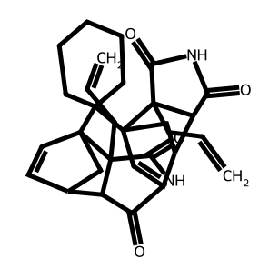 C=CCC12C(=O)NC(=O)C1C1C=CC2(C2(C34C=CC(C3)C3C(=O)NC(=O)C34CC=C)CCCCC2)C1